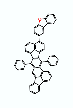 c1ccc(-c2c3cc4c5ccccc5c5cccc(c3c(-c3ccccc3)c3c6ccc(-c7ccc8oc9ccccc9c8c7)c7cccc(c23)c76)c54)cc1